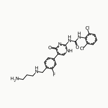 NCCCNCc1ccc(-c2c[nH]c(NC(=O)Nc3c(Cl)cccc3Cl)nc2=O)cc1F